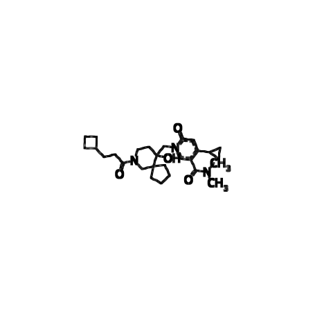 CN(C)C(=O)c1cn(CC2(O)CCN(C(=O)CCC3CCC3)CC23CCCC3)c(=O)cc1C1CC1